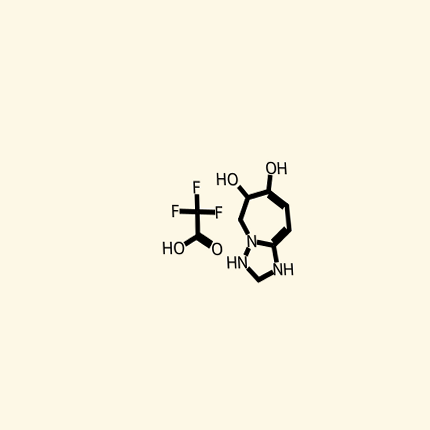 O=C(O)C(F)(F)F.OC1=CC=C2NCNN2CC1O